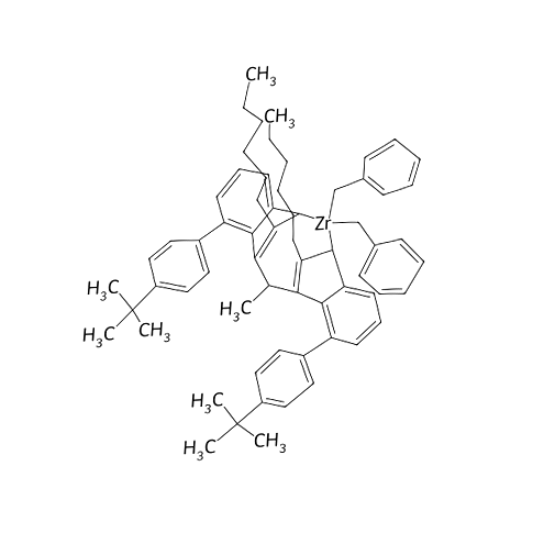 CCCCCCC1=C2c3c(-c4ccc(C(C)(C)C)cc4)cccc3[CH]1[Zr]([CH2]c1ccccc1)([CH2]c1ccccc1)[CH]1C(CCCCCC)=C(c3c(-c4ccc(C(C)(C)C)cc4)cccc31)C2C